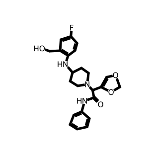 O=C(Nc1ccccc1)C(C1=COCO1)N1CCC(Nc2ccc(F)cc2CO)CC1